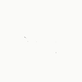 CC(C)c1nc2cccc([C@@H]3C[C@H]3CO)c2o1